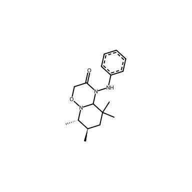 C[C@@H]1CC(C)(C)C2N(Nc3ccccc3)C(=O)CON2[C@H]1C